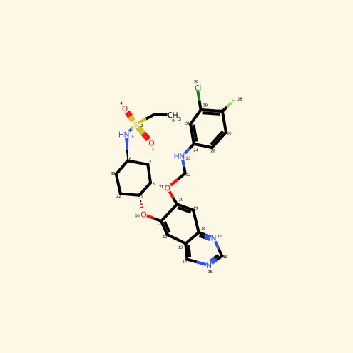 CCS(=O)(=O)N[C@H]1CC[C@H](Oc2cc3cncnc3cc2OCNc2ccc(F)c(Cl)c2)CC1